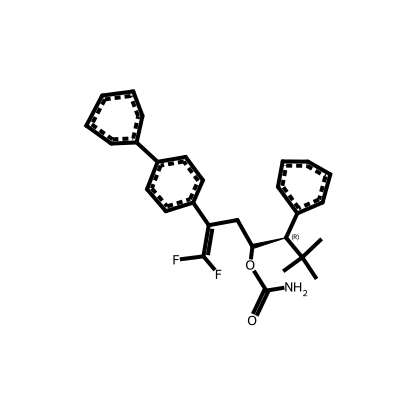 CC(C)(C)[C@H](c1ccccc1)C(CC(=C(F)F)c1ccc(-c2ccccc2)cc1)OC(N)=O